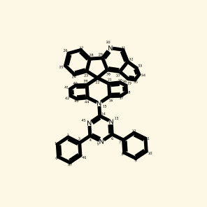 c1ccc(-c2nc(-c3ccccc3)nc(N3c4ccccc4C4(c5ccccc5-c5ncc6ccccc6c54)c4ccccc43)n2)cc1